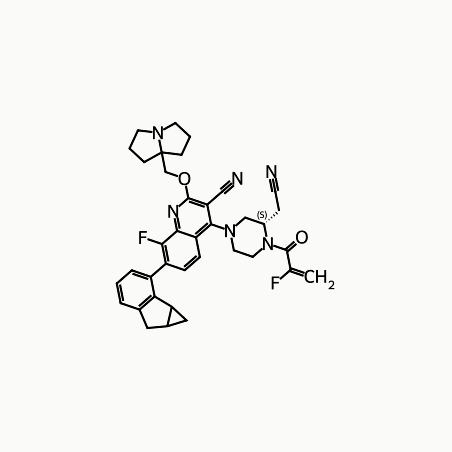 C=C(F)C(=O)N1CCN(c2c(C#N)c(OCC34CCCN3CCC4)nc3c(F)c(-c4cccc5c4C4CC4C5)ccc23)C[C@@H]1CC#N